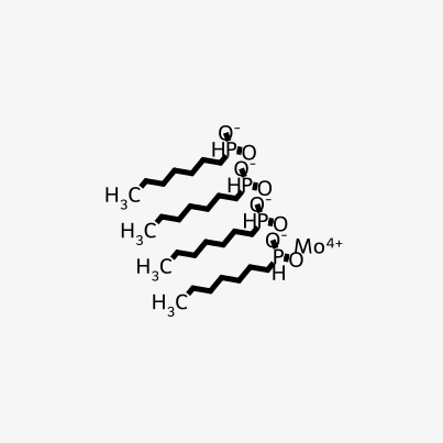 CCCCCCC[PH](=O)[O-].CCCCCCC[PH](=O)[O-].CCCCCCC[PH](=O)[O-].CCCCCCC[PH](=O)[O-].[Mo+4]